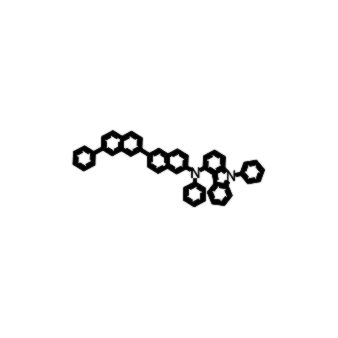 c1ccc(-c2ccc3ccc(-c4ccc5cc(N(c6ccccc6)c6cccc7c6c6ccccc6n7-c6ccccc6)ccc5c4)cc3c2)cc1